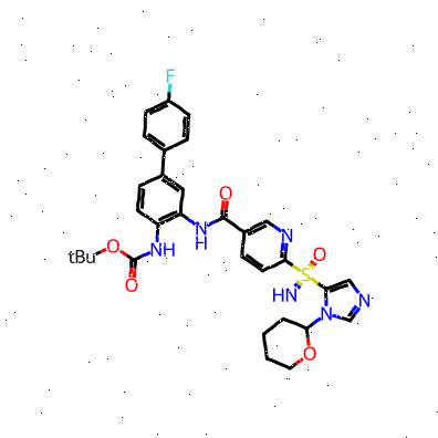 CC(C)(C)OC(=O)Nc1ccc(-c2ccc(F)cc2)cc1NC(=O)c1ccc(S(=N)(=O)c2cncn2C2CCCCO2)nc1